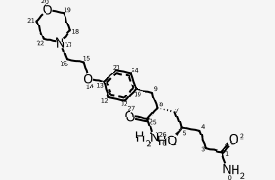 NC(=O)CC[C@@H](O)C[C@@H](Cc1ccc(OCCN2CCOCC2)cc1)C(N)=O